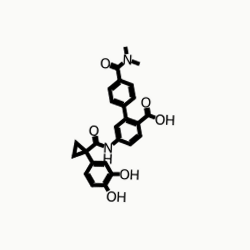 CN(C)C(=O)c1ccc(-c2cc(NC(=O)C3(c4ccc(O)c(O)c4)CC3)ccc2C(=O)O)cc1